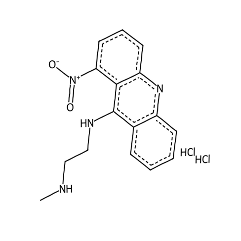 CNCCNc1c2ccccc2nc2cccc([N+](=O)[O-])c12.Cl.Cl